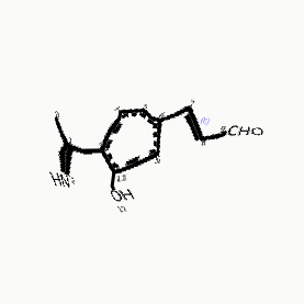 CC(=N)c1ccc(/C=C/C=O)cc1O